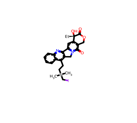 CC[C@@]1(O)C(=O)OCc2c1cc1n(c2=O)Cc2c-1nc1ccccc1c2CC[Si](C)(C)CI